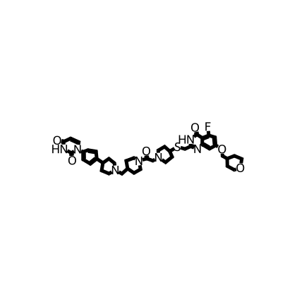 O=C(CN1CCC(SCc2nc3cc(OCC4CCOCC4)cc(F)c3c(=O)[nH]2)CC1)N1CCC(CN2CCC(c3ccc(-n4ccc(=O)[nH]c4=O)cc3)CC2)CC1